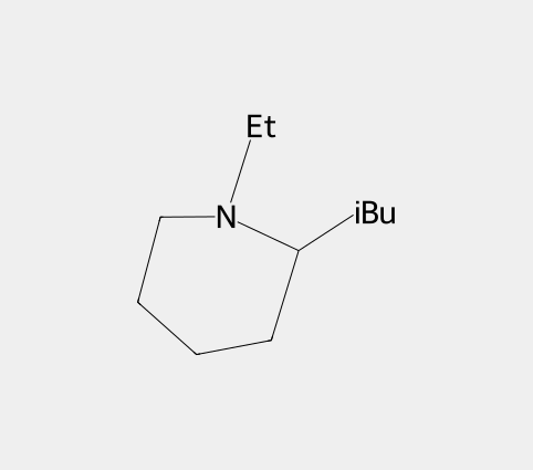 CCC(C)C1CCCCN1CC